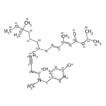 C/C(=N\C#N)N(C)Cc1ccc(Cl)nc1.COC(C)(C)CCCC(C)C/C=C/C(C)=C/C(=O)OC(C)C